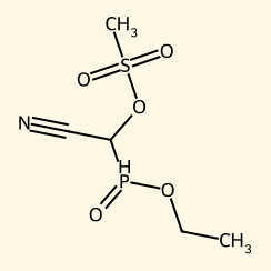 CCO[PH](=O)C(C#N)OS(C)(=O)=O